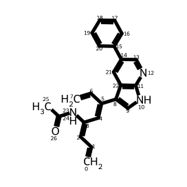 C=C/C=C(\C=C(/C=C)c1c[nH]c2ncc(-c3ccccc3)cc12)NC(C)=O